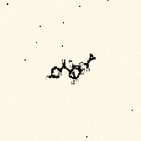 O=C(O[C@@H]1[C@@H]2CC3C[C@@H](C2)CN(C(=O)c2ccc(F)cn2)[C@@H]31)C1CC1